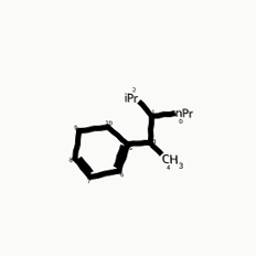 CCCC(C(C)C)C(C)C1=CC=CCC1